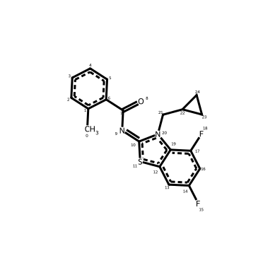 Cc1ccccc1C(=O)/N=c1/sc2cc(F)cc(F)c2n1CC1CC1